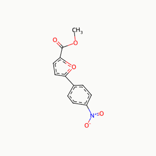 COC(=O)c1ccc(-c2ccc([N+](=O)[O-])cc2)o1